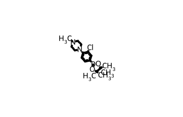 CN1CCN(c2ccc(B3OC(C)(C)C(C)(C)O3)cc2Cl)CC1